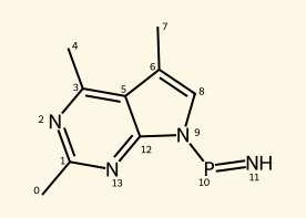 Cc1nc(C)c2c(C)cn(P=N)c2n1